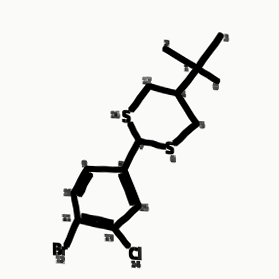 CC(C)(C)C1CSC(c2ccc(Br)c(Cl)c2)SC1